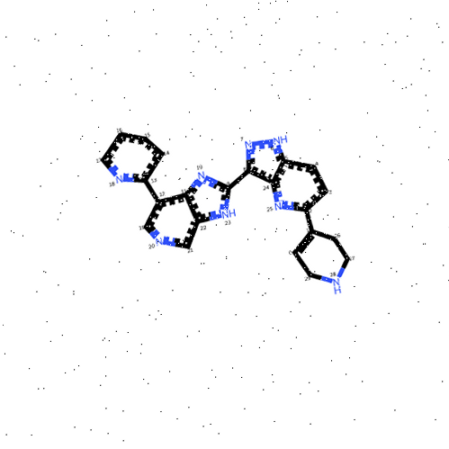 C1=C(c2ccc3[nH]nc(-c4nc5c(-c6ccccn6)cncc5[nH]4)c3n2)CCNC1